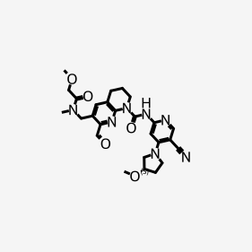 COCC(=O)N(C)Cc1cc2c(nc1C=O)N(C(=O)Nc1cc(N3CC[C@H](OC)C3)c(C#N)cn1)CCC2